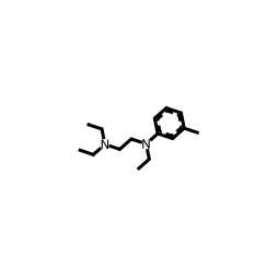 CCN(CC)CCN(CC)c1cccc(C)c1